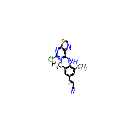 Cc1cc(/C=C/C#N)cc(C)c1Nc1nc(Cl)nc2scnc12